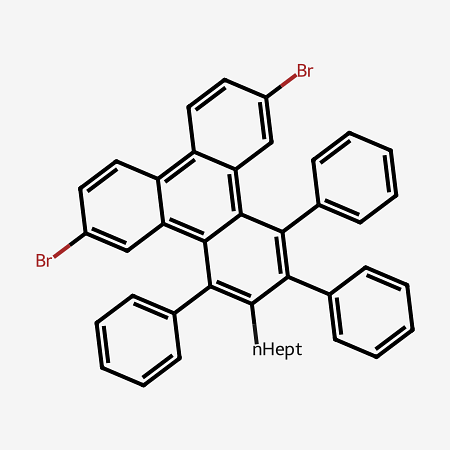 CCCCCCCc1c(-c2ccccc2)c(-c2ccccc2)c2c3cc(Br)ccc3c3ccc(Br)cc3c2c1-c1ccccc1